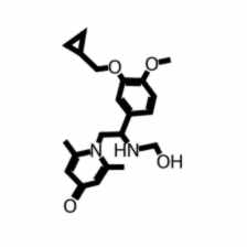 COc1ccc(C(Cn2c(C)cc(=O)cc2C)NCO)cc1OCC1CC1